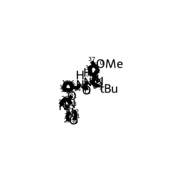 COc1cc(-n2nc(C(C)(C)C)cc2NC(=O)NCc2ccccc2Oc2ccnc(N3CCOCC3)n2)ccc1C